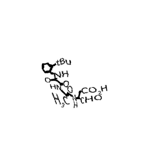 C[C@H](NC(=O)C(=O)Nc1ccccc1C(C)(C)C)C(=O)N[C@H](C=O)CC(=O)O